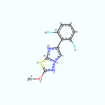 CC(C)Oc1nn2cc(-c3c(F)cccc3F)nc2s1